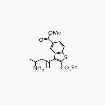 CCOC(=O)c1sc2ccc(C(=O)OC)cc2c1NCC(C)N